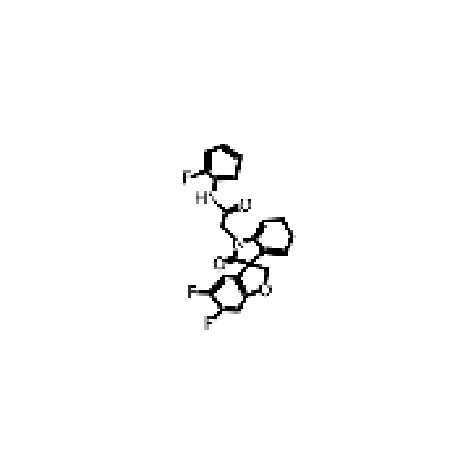 O=C(CN1C(=O)C2(COc3cc(F)c(F)cc32)C2=CCCC=C21)Nc1ccccc1F